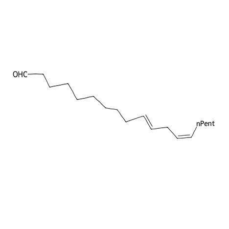 CCCCC/C=C\C/C=C/CCCCCCCCC=O